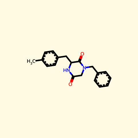 Cc1ccc(CC2NC(=O)CN(Cc3ccccc3)C2=O)cc1